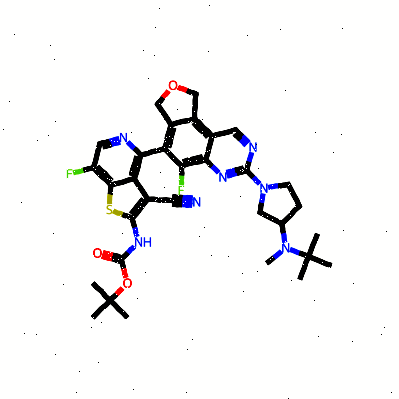 CN(C1CCN(c2ncc3c4c(c(-c5ncc(F)c6sc(NC(=O)OC(C)(C)C)c(C#N)c56)c(F)c3n2)COC4)C1)C(C)(C)C